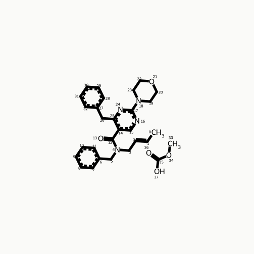 C/C=C/CN(Cc1ccccc1)C(=O)c1cnc(N2CCOCC2)nc1Cc1ccccc1.COC(=O)O